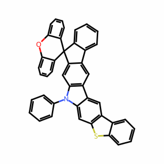 c1ccc(-n2c3cc4c(cc3c3cc5c(cc32)sc2ccccc25)-c2ccccc2C42c3ccccc3Oc3ccccc32)cc1